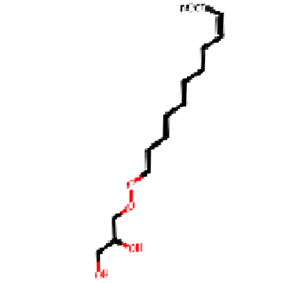 CCCCCCCC/C=C\CCCCCCCCOOCC(O)CO